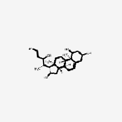 CC(C)CCC(O)[C@@H](C)[C@H]1C(O)C[C@H]2[C@@H]3CC=C4CC(O)CC(O)[C@]4(C)[C@H]3CC[C@]12C